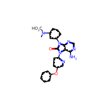 CN(C(=O)O)c1cccc(-n2c(=O)n(-c3ccc(Oc4ccccc4)cn3)c3c(N)ncnc32)c1